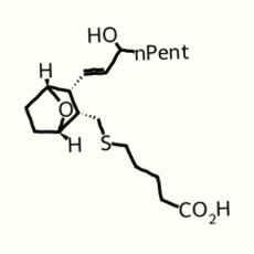 CCCCCC(O)/C=C/[C@@H]1[C@H](CSCCCCC(=O)O)[C@@H]2CC[C@H]1O2